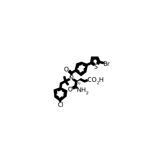 CC(C)(Cc1ccc(Cl)cc1)N(C(=O)c1ccc(-c2ccc(Br)s2)cc1)[C@@H](CCC(=O)O)C(N)=O